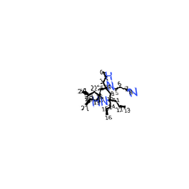 C=CCC1(NCCC#N)CC(CC=C)(CC=C)NC(CC=C)(CC=C)C1